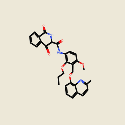 CCCOc1c(NC(=O)C2NC(=O)c3ccccc3C2=O)ccc(OC)c1COc1cccc2ccc(C)nc12